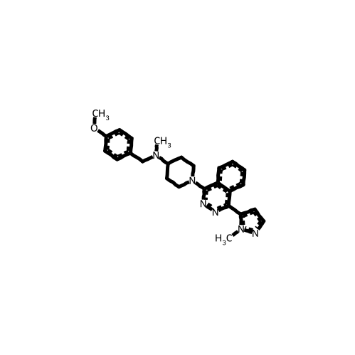 COc1ccc(CN(C)C2CCN(c3nnc(-c4ccnn4C)c4ccccc34)CC2)cc1